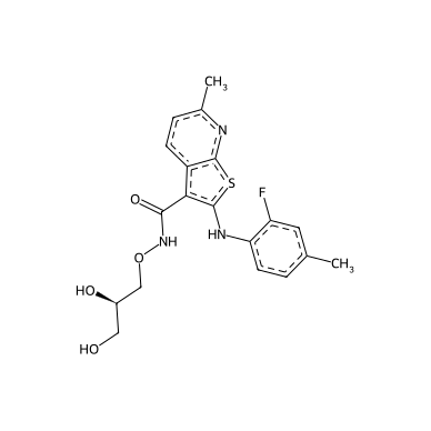 Cc1ccc(Nc2sc3nc(C)ccc3c2C(=O)NOC[C@H](O)CO)c(F)c1